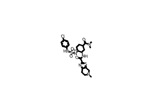 CN1CCc2nc(C(=O)N[C@@H]3CC(C(=O)N(C)C)CC[C@@H]3NS(=O)(=O)Nc3ccc(Cl)cc3)sc2C1